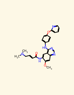 COc1cc2ncnc(Nc3ccc(Oc4ccccn4)cc3)c2cc1NC(=O)C=CCN(C)C